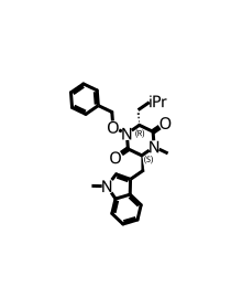 CC(C)C[C@@H]1C(=O)N(C)[C@@H](Cc2cn(C)c3ccccc23)C(=O)N1OCc1ccccc1